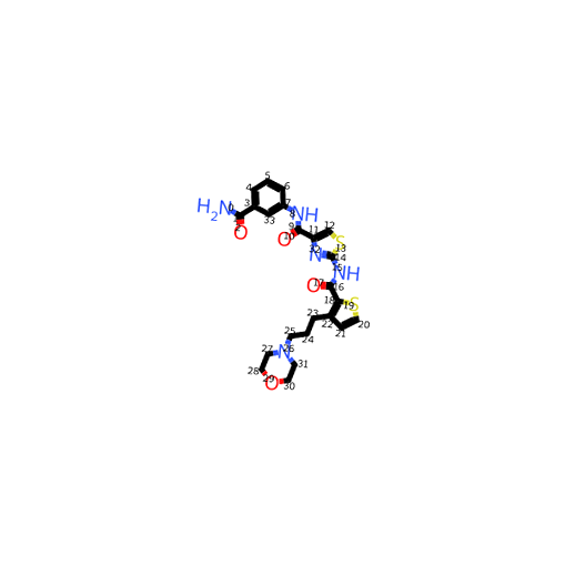 NC(=O)c1cccc(NC(=O)c2csc(NC(=O)c3sccc3CCCN3CCOCC3)n2)c1